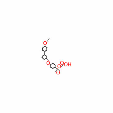 CCCOc1ccc(-c2cccc(COc3ccc(C4(OCC(=O)O)COC4)cc3)c2)cc1